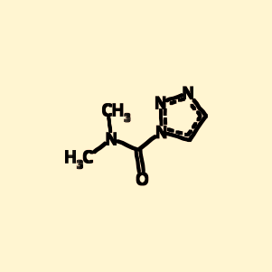 CN(C)C(=O)n1ccnn1